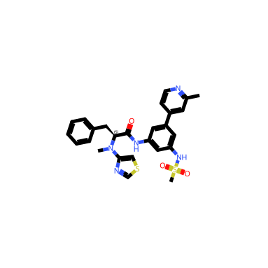 Cc1cc(-c2cc(NC(=O)[C@H](Cc3ccccc3)N(C)c3cscn3)cc(NS(C)(=O)=O)c2)ccn1